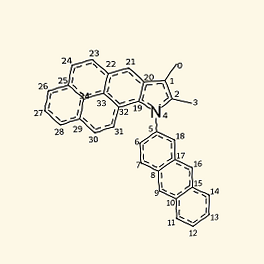 Cc1c(C)n(-c2ccc3cc4ccccc4cc3c2)c2c1cc1ccc3cccc4ccc2c1c34